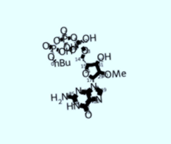 CCCCOP(=O)(O)OP(=O)(O)OP(=O)(O)OC[C@H]1O[C@@H](n2cnc3c(=O)[nH]c(N)nc32)C(OC)C1O